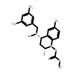 CC(=O)N(Cc1cc(C(F)(F)F)cc(C(F)(F)F)c1)[C@H]1C[C@@H](C)N(OC(=O)OC(C)C)c2ccc(C(F)(F)F)cc21